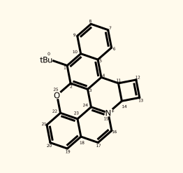 CC(C)(C)c1c2c3c(c4ccccc14)C1C=CC1[n+]1ccc4cccc(c4c1-3)O2